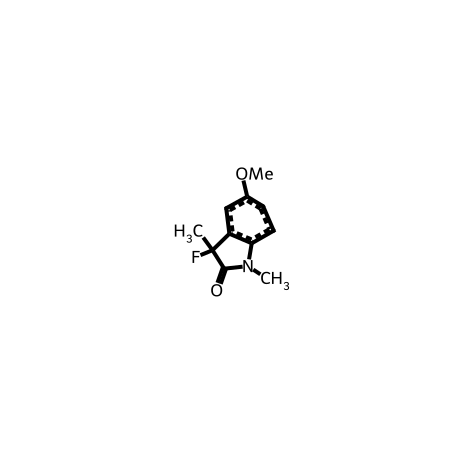 COc1ccc2c(c1)C(C)(F)C(=O)N2C